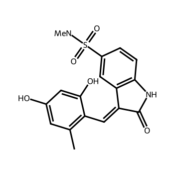 CNS(=O)(=O)c1ccc2c(c1)C(=Cc1c(C)cc(O)cc1O)C(=O)N2